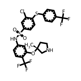 C[C@@]1(Oc2cc(NS(=O)(=O)c3ccc(Sc4ccc(C(F)(F)F)cc4)c(Cl)c3)ccc2C(F)(F)F)CCNC1